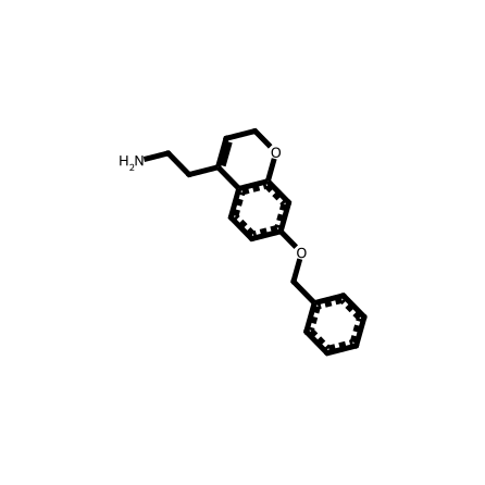 NCCC1=CCOc2cc(OCc3ccccc3)ccc21